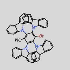 N#Cc1c(-n2c3ccccc3c3ccccc32)c(-n2c3ccccc3c3ccccc32)c(Br)c(-n2c3ccccc3c3ccccc32)c1-n1c2ccccc2c2ccccc21